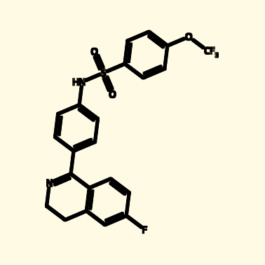 O=S(=O)(Nc1ccc(C2=NCCc3cc(F)ccc32)cc1)c1ccc(OC(F)(F)F)cc1